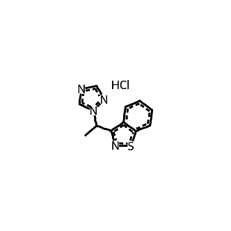 CC(c1nsc2ccccc12)n1cncn1.Cl